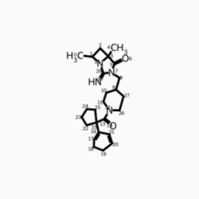 CC1CC2(C)C(=O)N(CC3CCN(C(=O)C4(C5=CCCC=C5)CCCC4)CC3)C(=N)N12